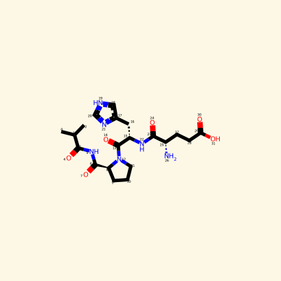 CC(C)C(=O)NC(=O)[C@@H]1CCCN1C(=O)[C@H](Cc1c[nH]cn1)NC(=O)[C@@H](N)CCC(=O)O